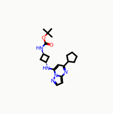 CC(C)(C)OC(=O)N[C@H]1C[C@H](Nc2cc(C3CCCC3)nc3ccnn23)C1